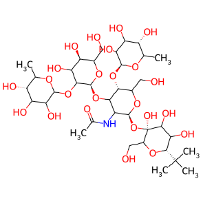 CC(=O)NC1C(O[C@@H]2OC(CO)[C@H](O)C(O)C2OC2OC(C)[C@@H](O)C(O)C2O)[C@H](O[C@@H]2OC(C)[C@@H](O)C(O)C2O)C(CO)O[C@H]1O[C@]1(O)C(CO)O[C@@H](C(C)(C)C)C(O)C1O